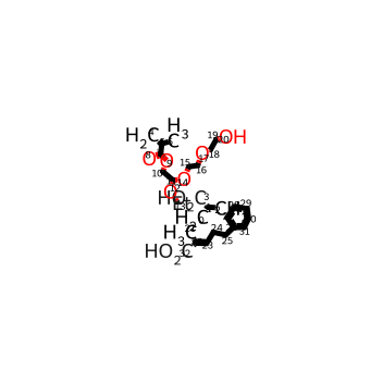 C=C(C)C(=O)O.C=C(C)C(=O)OCC(OCC)OCCOCCO.CC(=CCCc1ccccc1)C(=O)O